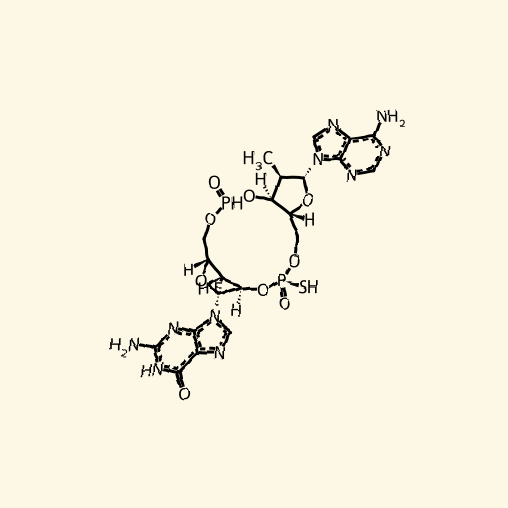 C[C@@H]1[C@@H]2O[PH](=O)OC[C@H]3O[C@@H](n4cnc5c(=O)[nH]c(N)nc54)[C@H](O[P@](=O)(S)OC[C@H]2O[C@H]1n1cnc2c(N)ncnc21)[C@@H]3F